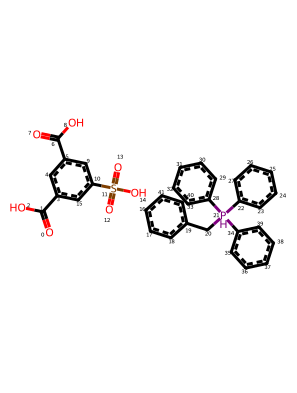 O=C(O)c1cc(C(=O)O)cc(S(=O)(=O)O)c1.c1ccc(C[PH](c2ccccc2)(c2ccccc2)c2ccccc2)cc1